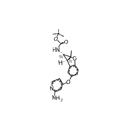 CC(C)(C)OC(=O)N[C@H]1[C@@H]2c3cc(Oc4ccnc(N)c4)ccc3OC12C